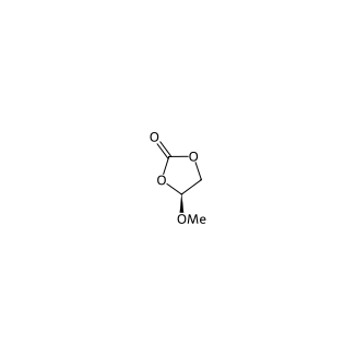 CO[C@@H]1COC(=O)O1